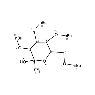 CCCCOCC1OC(O)(C(F)(F)F)C(OCCCC)C(OCCCC)C1OCCCC